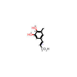 Cc1cc(/C=C/C(=O)O)cc(O)c1O